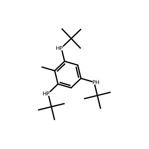 Cc1c(PC(C)(C)C)cc(PC(C)(C)C)cc1PC(C)(C)C